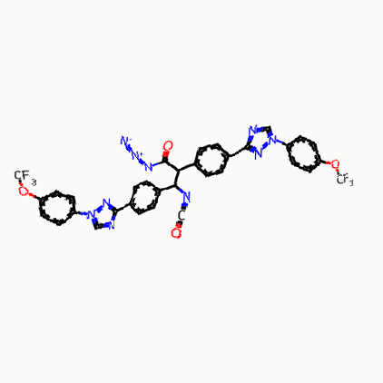 [N-]=[N+]=NC(=O)C(c1ccc(-c2ncn(-c3ccc(OC(F)(F)F)cc3)n2)cc1)C(N=C=O)c1ccc(-c2ncn(-c3ccc(OC(F)(F)F)cc3)n2)cc1